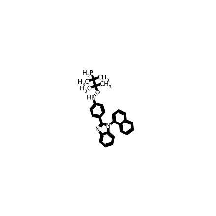 CC(C)(P)C(C)(C)OBc1ccc(-c2nc3ccccc3n2-c2cccc3ccccc23)cc1